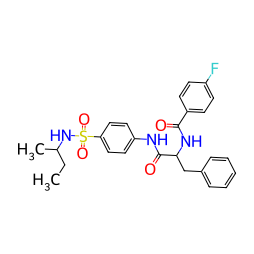 CCC(C)NS(=O)(=O)c1ccc(NC(=O)C(Cc2ccccc2)NC(=O)c2ccc(F)cc2)cc1